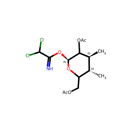 CC(=O)OCC1O[C@@H](OC(=N)C(Cl)Cl)C(OC(C)=O)[C@@H](C)[C@@H]1C